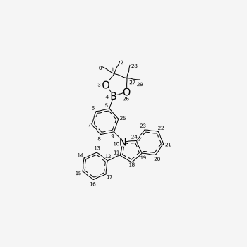 CC1(C)OB(c2cccc(-n3c(-c4ccccc4)cc4ccccc43)c2)OC1(C)C